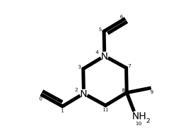 C=CN1CN(C=C)CC(C)(N)C1